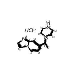 CC(c1ccn2ccnc2c1)N1CCNCC1.Cl